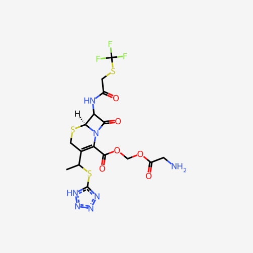 CC(Sc1nnn[nH]1)C1=C(C(=O)OCOC(=O)CN)N2C(=O)C(NC(=O)CSC(F)(F)F)[C@@H]2SC1